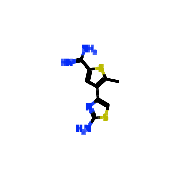 Cc1sc(C(=N)N)cc1-c1csc(N)n1